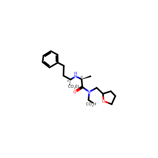 CCOC(=O)[C@H](CCc1ccccc1)N[C@@H](C)C(=O)N(CC(=O)O)CC1CCCO1